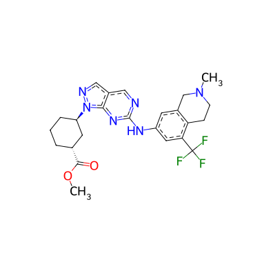 COC(=O)[C@@H]1CCC[C@@H](n2ncc3cnc(Nc4cc5c(c(C(F)(F)F)c4)CCN(C)C5)nc32)C1